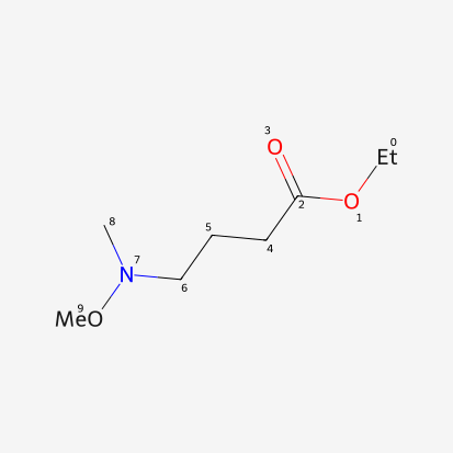 CCOC(=O)CCCN(C)OC